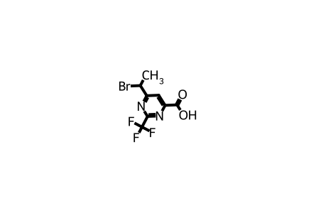 CC(Br)c1cc(C(=O)O)nc(C(F)(F)F)n1